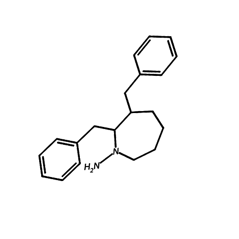 NN1CCCCC(Cc2ccccc2)C1Cc1ccccc1